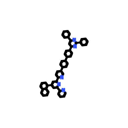 c1ccc(-c2cc(-c3ccc(-c4ccc(-c5ccc(-c6cc(-c7cccc8ccccc78)cc(-c7ccccn7)n6)nc5)cc4)cc3)nc(-c3ccccc3)n2)cc1